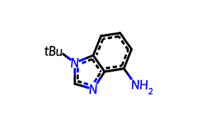 CC(C)(C)n1cnc2c(N)cccc21